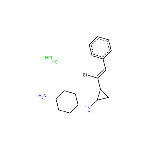 CC/C(=C\c1ccccc1)C1CC1N[C@H]1CC[C@@H](N)CC1.Cl.Cl